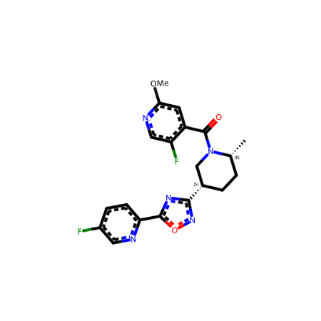 COc1cc(C(=O)N2C[C@@H](c3noc(-c4ccc(F)cn4)n3)CC[C@H]2C)c(F)cn1